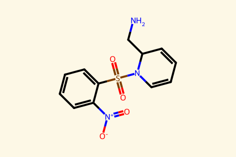 NCC1C=CC=CN1S(=O)(=O)c1ccccc1[N+](=O)[O-]